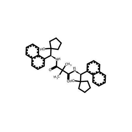 CC(C)(C(=O)N[C@@H](c1cccc2ccccc12)C1(O)CCCC1)C(=O)N[C@@H](c1cccc2ccccc12)C1(O)CCCC1